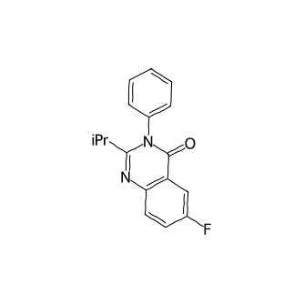 CC(C)c1nc2ccc(F)cc2c(=O)n1-c1ccccc1